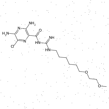 COCCOCCCCCCNC(=N)NC(=O)c1nc(Cl)c(N)nc1N